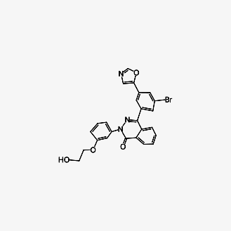 O=c1c2ccccc2c(-c2cc(Br)cc(-c3cnco3)c2)nn1-c1cccc(OCCO)c1